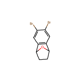 Brc1cc2c(cc1Br)C1CCC2O1